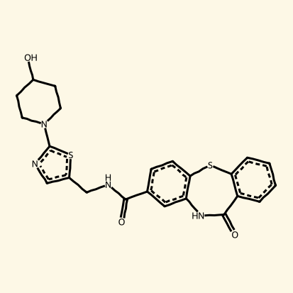 O=C(NCc1cnc(N2CCC(O)CC2)s1)c1ccc2c(c1)NC(=O)c1ccccc1S2